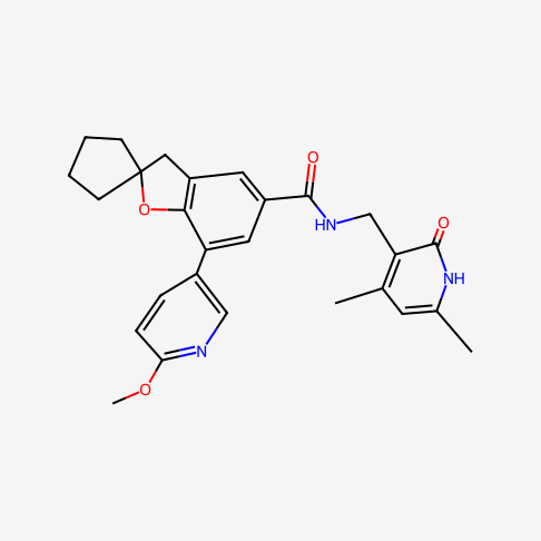 COc1ccc(-c2cc(C(=O)NCc3c(C)cc(C)[nH]c3=O)cc3c2OC2(CCCC2)C3)cn1